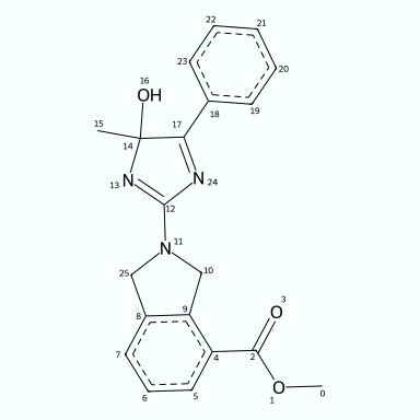 COC(=O)c1cccc2c1CN(C1=NC(C)(O)C(c3ccccc3)=N1)C2